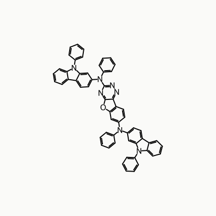 c1ccc(N(c2ccc3c(c2)oc2nc(N(c4ccccc4)c4ccc5c6ccccc6n(-c6ccccc6)c5c4)nnc23)c2ccc3c4ccccc4n(-c4ccccc4)c3c2)cc1